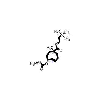 C[C@@]1(C(=O)OCC[Si](C)(C)C)CC/C=C/[C@H](OC(=O)ON)CC1